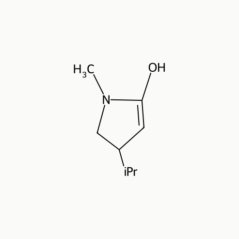 CC(C)C1C=C(O)N(C)C1